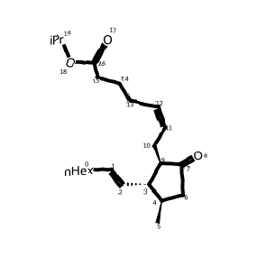 CCCCCC/C=C/[C@H]1[C@H](C)CC(=O)[C@@H]1C/C=C\CCCC(=O)OC(C)C